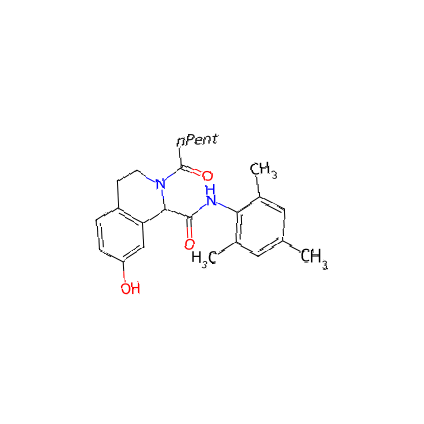 CCCCCC(=O)N1CCc2ccc(O)cc2C1C(=O)Nc1c(C)cc(C)cc1C